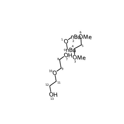 CCCCOCCCC.COCCOC.OCCOCCO